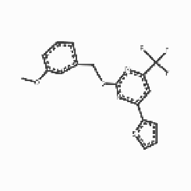 COc1cccc(CSc2nc(-c3cccs3)cc(C(F)(F)F)n2)c1